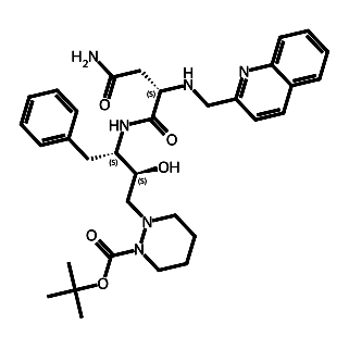 CC(C)(C)OC(=O)N1CCCCN1C[C@H](O)[C@H](Cc1ccccc1)NC(=O)[C@H](CC(N)=O)NCc1ccc2ccccc2n1